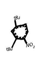 CC(C)(C)c1[c]cc([N+](=O)[O-])c(C(C)(C)C)c1